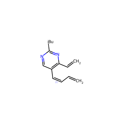 C=C/C=C\c1cnc(C(C)CC)nc1C=C